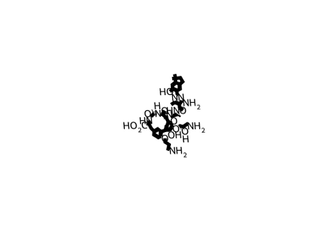 Cc1nc(-c2cc3c(cc2O)C(C)(C)CC3)nc(N)c1C(=O)N[C@@H](C)C(=O)N(C)[C@@H]1C(=O)N[C@@H](C)C(=O)N[C@H](C(=O)O)Cc2ccc(OCCCN)c(c2)-c2cc1cc(OC[C@H](O)CN)c2O